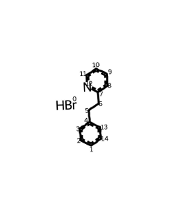 Br.c1ccc(CCc2ccccn2)cc1